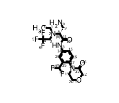 CCN(CC(F)(F)F)[C@H](CN)C(=O)Nc1ccc(N2CCOCC2=O)c(C(F)F)c1